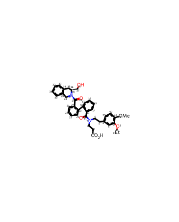 CCOc1cc(CCN(CCC(=O)O)C(=O)c2ccccc2-c2ccccc2C(=O)N2Cc3ccccc3C[C@H]2CO)ccc1OC